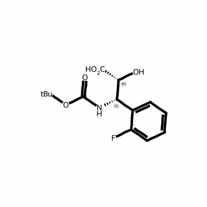 CC(C)(C)OC(=O)N[C@@H](c1ccccc1F)[C@@H](O)C(=O)O